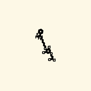 FC(F)(F)C(=NOCCCCCOc1c(Cl)cc(OCC=C(Cl)Cl)cc1Cl)c1ccccc1